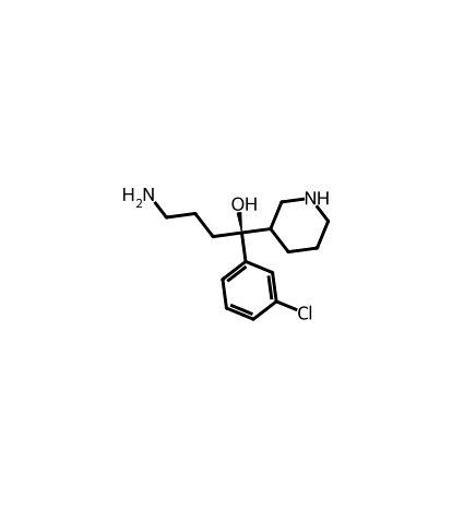 NCCC[C@@](O)(c1cccc(Cl)c1)C1CCCNC1